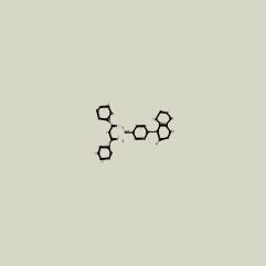 Cc1ccc2ccccc2c1-c1ccc(-c2nc(-c3ccccc3)cc(-c3ccccc3)n2)cc1